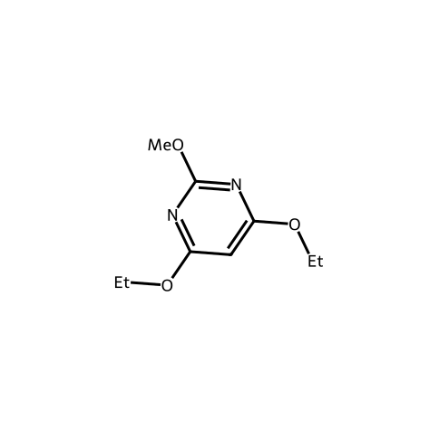 CCOc1cc(OCC)nc(OC)n1